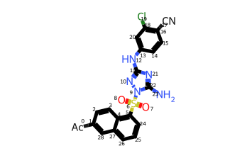 CC(=O)c1ccc2c(S(=O)(=O)n3nc(Nc4ccc(C#N)c(Cl)c4)nc3N)cccc2c1